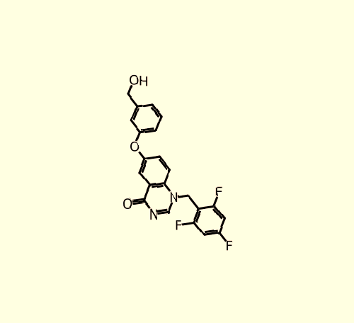 O=c1ncn(Cc2c(F)cc(F)cc2F)c2ccc(Oc3cccc(CO)c3)cc12